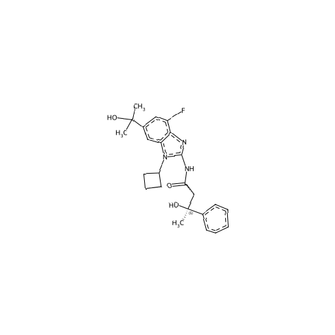 CC(C)(O)c1cc(F)c2nc(NC(=O)C[C@](C)(O)c3ccccc3)n(C3CCC3)c2c1